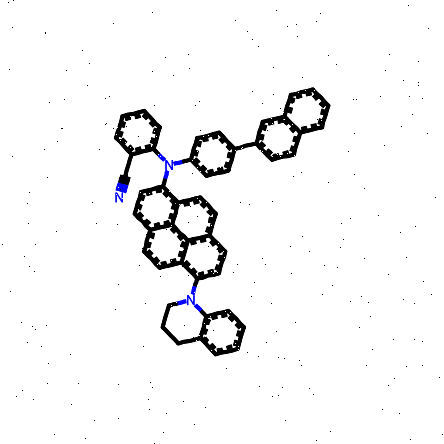 N#Cc1ccccc1N(c1ccc(-c2ccc3ccccc3c2)cc1)c1ccc2ccc3c(N4CCCc5ccccc54)ccc4ccc1c2c43